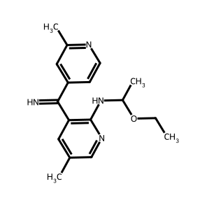 CCOC(C)Nc1ncc(C)cc1C(=N)c1ccnc(C)c1